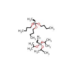 C=C[Si](OC(C)C)(OC(C)C)OC(C)C.C=C[Si](OCCCC)(OCCCC)OCCCC